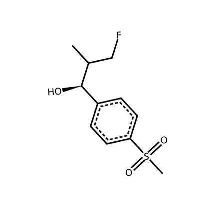 CC(CF)[C@H](O)c1ccc(S(C)(=O)=O)cc1